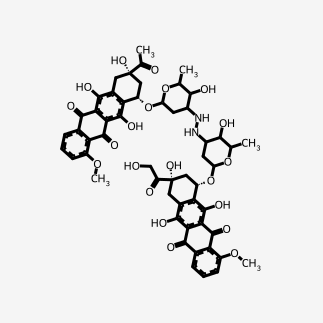 COc1cccc2c1C(=O)c1c(O)c3c(c(O)c1C2=O)C[C@@](O)(C(C)=O)C[C@@H]3OC1CC(NNC2CC(O[C@H]3C[C@](O)(C(=O)CO)Cc4c(O)c5c(c(O)c43)C(=O)c3c(OC)cccc3C5=O)OC(C)C2O)C(O)C(C)O1